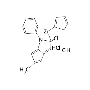 CC1=CC2=C[C](Cl)([Zr][C]3=CC=CC3)N(c3ccccc3)C2=C1.Cl.Cl